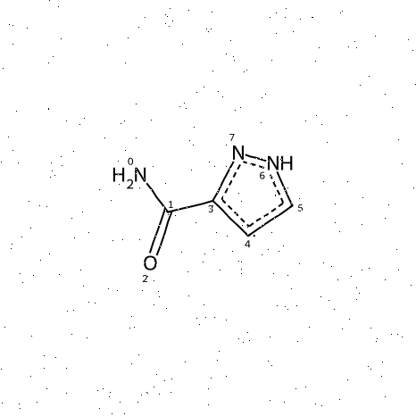 NC(=O)c1[c]c[nH]n1